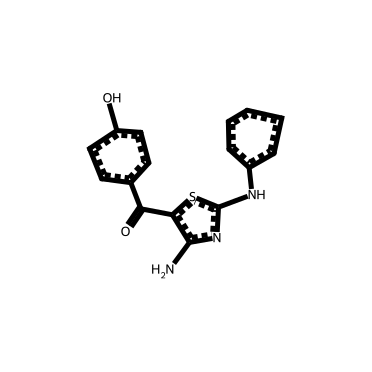 Nc1nc(Nc2ccccc2)sc1C(=O)c1ccc(O)cc1